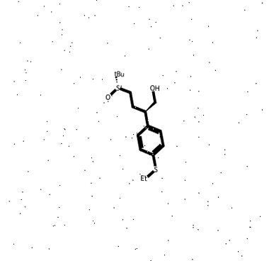 CCSc1ccc([C@H](CO)CC[S@+]([O-])C(C)(C)C)cc1